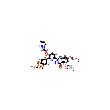 COc1cc(OC)c2c(=O)[nH]c(-c3ccc(OCCN4CCCC4)c(-c4ccc(S(C)(=O)=O)cc4)n3)nc2c1